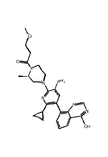 COCCC(=O)N1CCN(c2nc(C3CC3)c(-c3cccc4c(O)ncnc34)cc2N)C[C@H]1C